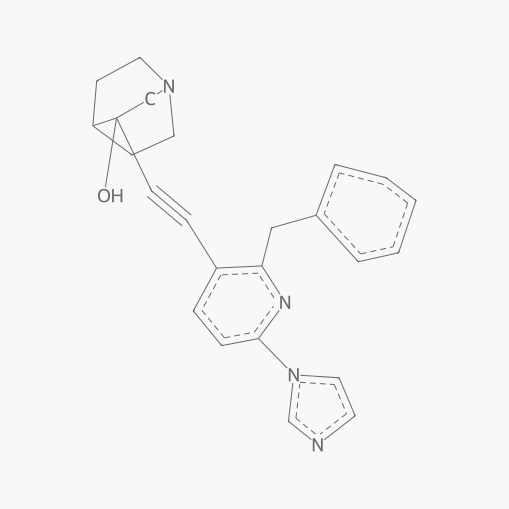 OC1(C#Cc2ccc(-n3ccnc3)nc2Cc2ccccc2)CN2CCC1CC2